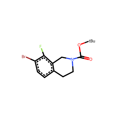 CC(C)(C)OC(=O)N1CCc2ccc(Br)c(F)c2C1